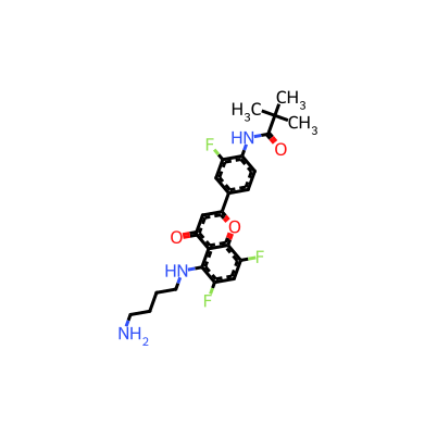 CC(C)(C)C(=O)Nc1ccc(-c2cc(=O)c3c(NCCCCN)c(F)cc(F)c3o2)cc1F